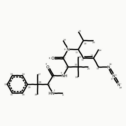 CNC(C(=O)NC(C(=O)N(C)C(/C=C(\C)CN=[N+]=[N-])C(C)C)C(C)(C)C)C(C)(C)c1ccccc1